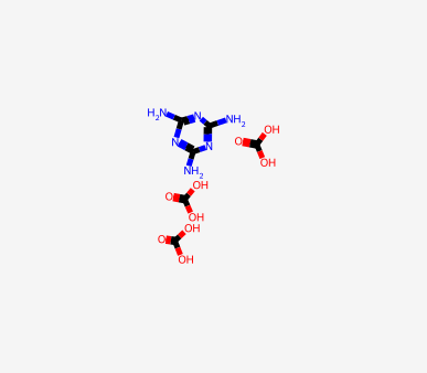 Nc1nc(N)nc(N)n1.O=C(O)O.O=C(O)O.O=C(O)O